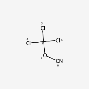 N#COC(Cl)(Cl)Cl